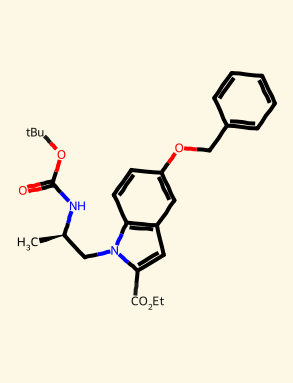 CCOC(=O)c1cc2cc(OCc3ccccc3)ccc2n1C[C@@H](C)NC(=O)OC(C)(C)C